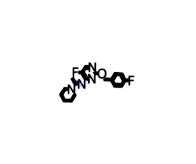 C/C(=N\c1nc(OCc2ccc(F)cc2)ncc1F)N1CCCCC1